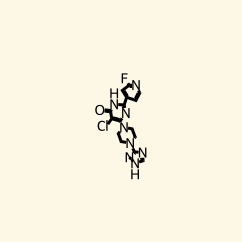 O=c1[nH]c(-c2ccnc(F)c2)nc(N2CCN(c3nc[nH]n3)CC2)c1Cl